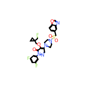 O=c1c(OCC2(CF)CC2)c(N2CCN(S(=O)(=O)Cc3ccc4ocnc4c3)CC2)cnn1-c1cc(F)cc(F)c1